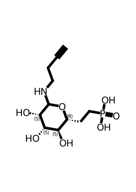 C#CCCNC1O[C@H](CCP(=O)(O)O)[C@@H](O)[C@H](O)[C@@H]1O